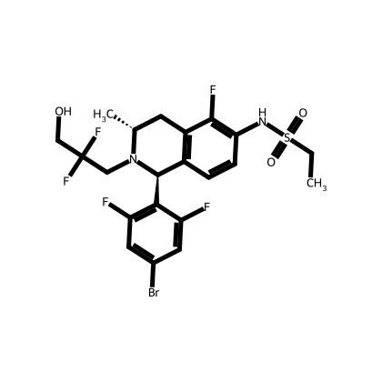 CCS(=O)(=O)Nc1ccc2c(c1F)C[C@@H](C)N(CC(F)(F)CO)[C@@H]2c1c(F)cc(Br)cc1F